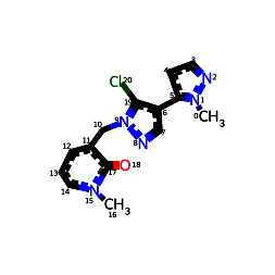 Cn1nccc1-c1cnn(Cc2cccn(C)c2=O)c1Cl